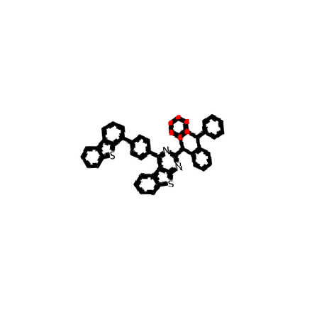 c1ccc(C23c4ccccc4C(c4nc(-c5ccc(-c6cccc7c6sc6ccccc67)cc5)c5c(n4)sc4ccccc45)(c4ccccc42)c2ccccc23)cc1